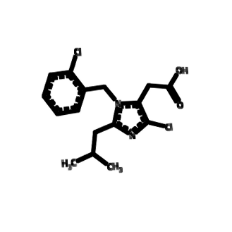 CC(C)Cc1nc(Cl)c(CC(=O)O)n1Cc1ccccc1Cl